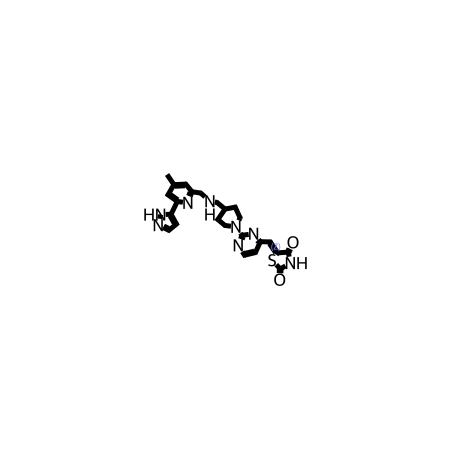 Cc1cc(CNCC2CCN(c3nccc(/C=C4\SC(=O)NC4=O)n3)CC2)nc(-c2ccn[nH]2)c1